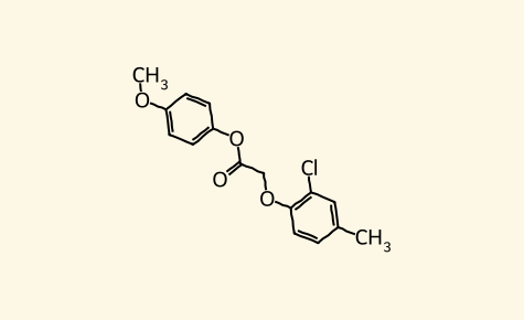 COc1ccc(OC(=O)COc2ccc(C)cc2Cl)cc1